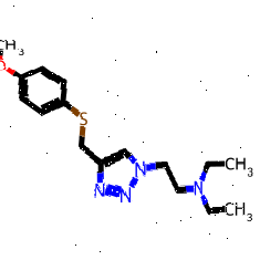 CCN(CC)CCn1cc(CSc2ccc(OC)cc2)nn1